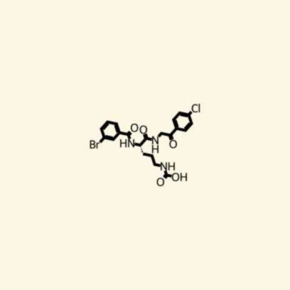 O=C(O)NCCC[C@H](NC(=O)c1cccc(Br)c1)C(=O)NCC(=O)c1ccc(Cl)cc1